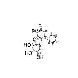 O[C@@H]1[C@@H](O)[C@H](Oc2cc(-c3cccnc3)cc(F)c2F)SC[C@H]1O